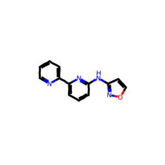 c1ccc(-c2cccc(Nc3ccon3)n2)nc1